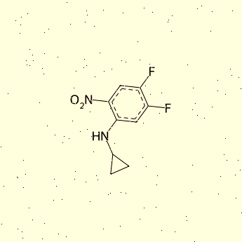 O=[N+]([O-])c1cc(F)c(F)cc1NC1CC1